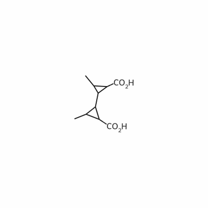 CC1C(C(=O)O)C1C1C(C)C1C(=O)O